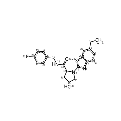 CCc1cnc2nc(N3CCCC3C(=O)NCc3ccc(F)cc3)sc2c1.Cl